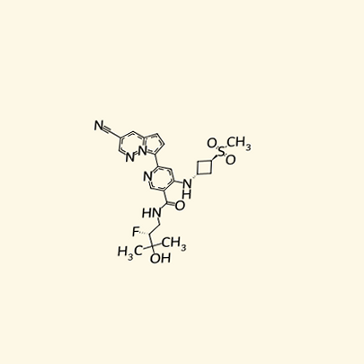 CC(C)(O)[C@H](F)CNC(=O)c1cnc(-c2ccc3cc(C#N)cnn23)cc1N[C@H]1C[C@H](S(C)(=O)=O)C1